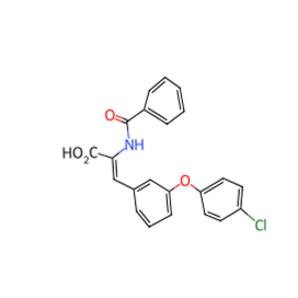 O=C(O)C(=Cc1cccc(Oc2ccc(Cl)cc2)c1)NC(=O)c1ccccc1